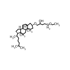 CCO[SiH2]CCC(O)CO[C@H]1CC[C@@]2(C)C(=CC=C3[C@@H]4CC[C@H]([C@H](C)CCCC(C)C)[C@@]4(C)CC[C@@H]32)C1